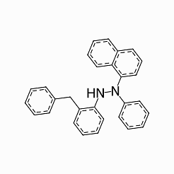 c1ccc(Cc2ccccc2NN(c2ccccc2)c2cccc3ccccc23)cc1